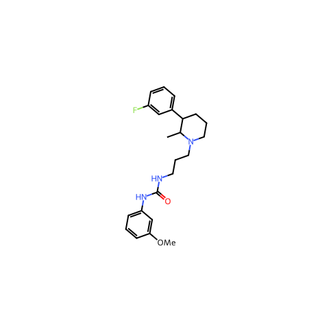 COc1cccc(NC(=O)NCCCN2CCCC(c3cccc(F)c3)C2C)c1